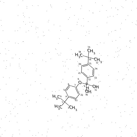 CC(C)(C)c1ccc(O[PH](O)(O)c2ccc(C(C)(C)C)cc2)cc1